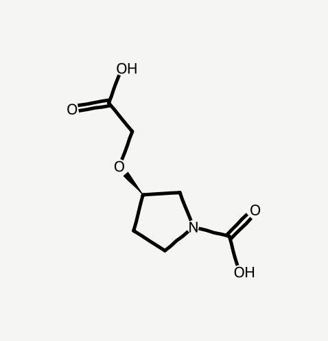 O=C(O)CO[C@@H]1CCN(C(=O)O)C1